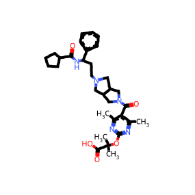 Cc1nc(OC(C)(C)C(=O)O)nc(C)c1C(=O)N1CC2CN(CCC(NC(=O)C3CCCC3)c3ccccc3)CC2C1